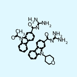 CC(=O)n1c2ccccc2c2ccc(C(=O)N=C(N)N)cc21.NC(N)=NC(=O)c1ccc2c3ccccc3n(C3CCOCC3)c2c1